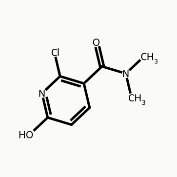 CN(C)C(=O)c1ccc(O)nc1Cl